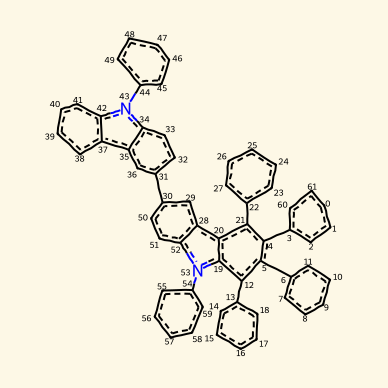 c1ccc(-c2c(-c3ccccc3)c(-c3ccccc3)c3c(c2-c2ccccc2)c2cc(-c4ccc5c(c4)c4ccccc4n5-c4ccccc4)ccc2n3-c2ccccc2)cc1